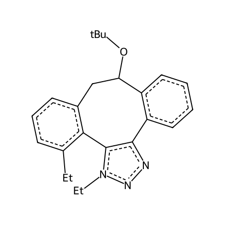 CCc1cccc2c1-c1c(nnn1CC)-c1ccccc1C(OC(C)(C)C)C2